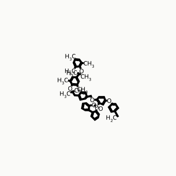 C=Cc1ccc(Oc2ccc(OCc3ccc(CC(C)(C)Oc4c(C)cc(C(C)(C)Oc5c(C)cc(C)cc5C)cc4C)cc3)c(P3(=O)Oc4ccccc4-c4ccccc43)c2)cc1